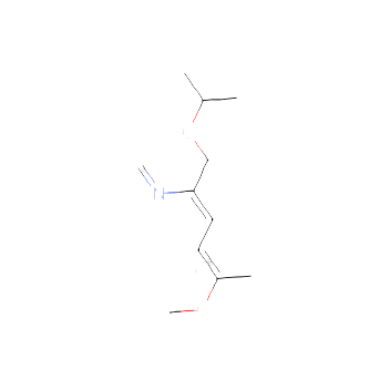 C=N/C(=C\C=C(/C)OC)COC(C)C